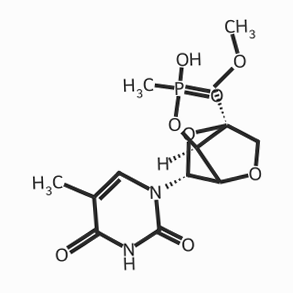 COC[C@@]12COC([C@H](n3cc(C)c(=O)[nH]c3=O)O1)[C@H]2OP(C)(=O)O